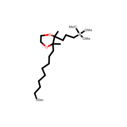 CCCCCCCCCCCCCCCCCCC1(C)OCCOC1(C)CCC[Si](OC)(OC)OC